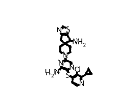 Nc1nc(N2CCC3(CC2)Cc2ncsc2C3N)cnc1Sc1ccnc(C2CC2)c1Cl